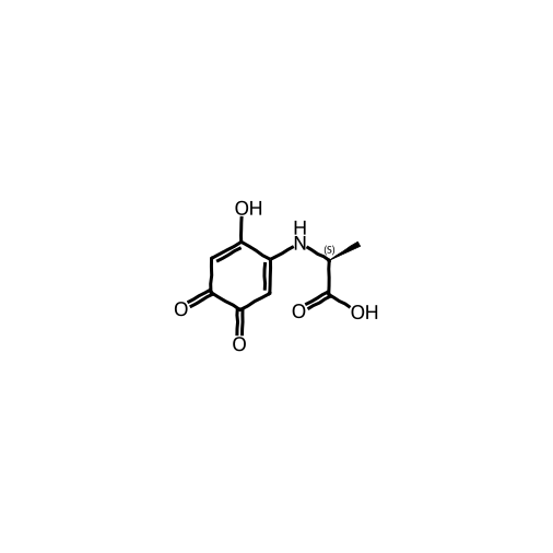 C[C@H](NC1=CC(=O)C(=O)C=C1O)C(=O)O